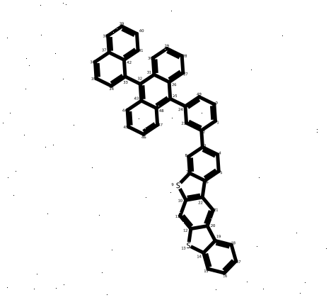 c1cc(-c2ccc3c(c2)sc2cc4sc5ccccc5c4cc23)cc(-c2c3ccccc3c(-c3cccc4ccccc34)c3ccccc23)c1